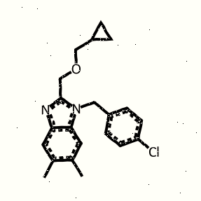 Cc1cc2nc(COCC3CC3)n(Cc3ccc(Cl)cc3)c2cc1C